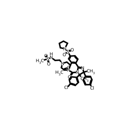 CCOc1cc(S(=O)(=O)N2CCCC2)ccc1C1=NC(C)(c2ccc(Cl)cc2)C(C)(c2ccc(Cl)cc2)N1C(=O)N1CCN(CCNS(C)(=O)=O)CC1